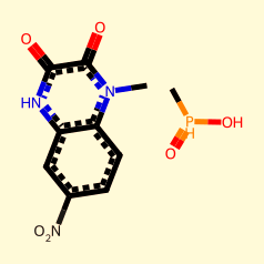 C[PH](=O)O.Cn1c(=O)c(=O)[nH]c2cc([N+](=O)[O-])ccc21